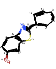 Brc1ccc2nc(-c3ccccc3)sc2c1